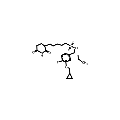 CCC[C@@H](NS(=O)(=O)CCCCCC1CCC(=O)NC1=O)c1ccc(F)c(OCC2CC2)c1